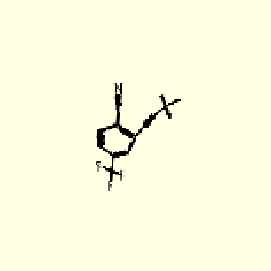 CC(C)(C)C#Cc1cc(C(F)(F)F)ccc1C#N